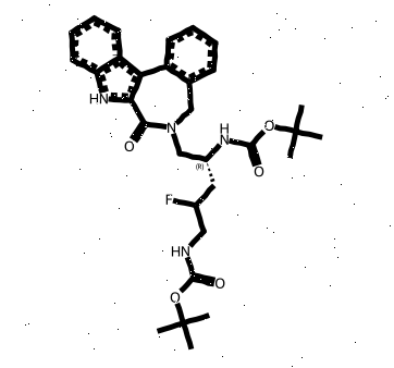 CC(C)(C)OC(=O)NCC(F)C[C@H](CN1Cc2ccccc2-c2c([nH]c3ccccc23)C1=O)NC(=O)OC(C)(C)C